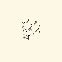 Cl.O.c1ccc2ncccc2c1